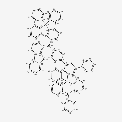 c1ccc(-c2cc(-c3ccc(N(c4ccc5c(c4)C(c4ccccc4)(c4ccccc4)c4ccccc4-5)c4cccc5c4oc4ccccc45)cc3)cc3c2-c2cccc4c2C3(c2ccccc2)c2ccccc2N4c2ccccc2)cc1